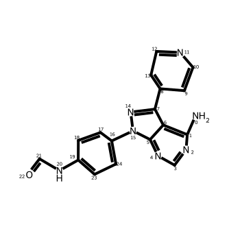 Nc1ncnc2c1c(-c1ccncc1)nn2-c1ccc(NC=O)cc1